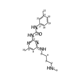 CNCCCCNc1cc(C)nc(NC(=O)Nc2cccc(C)c2)n1